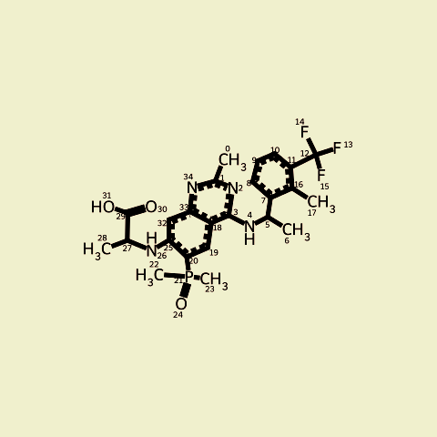 Cc1nc(NC(C)c2cccc(C(F)(F)F)c2C)c2cc(P(C)(C)=O)c(NC(C)C(=O)O)cc2n1